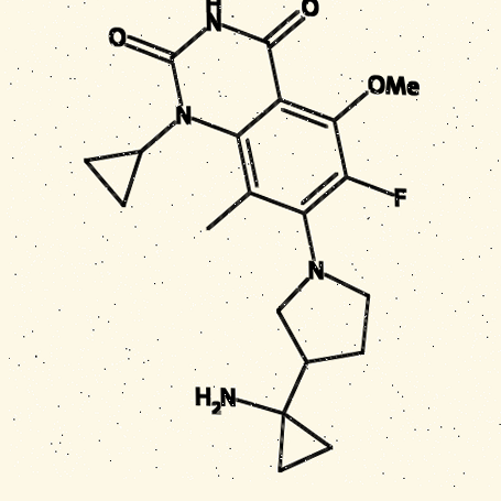 COc1c(F)c(N2CCC(C3(N)CC3)C2)c(C)c2c1c(=O)[nH]c(=O)n2C1CC1